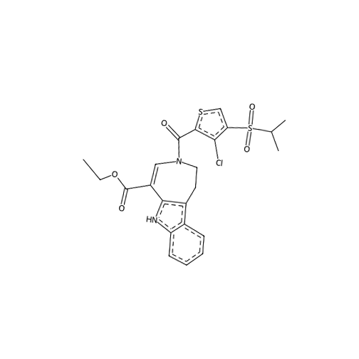 CCOC(=O)C1=CN(C(=O)c2scc(S(=O)(=O)C(C)C)c2Cl)CCc2c1[nH]c1ccccc21